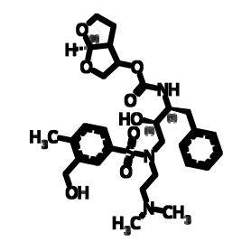 Cc1ccc(S(=O)(=O)N(CCN(C)C)C[C@@H](O)[C@H](Cc2ccccc2)NC(=O)OC2CO[C@H]3OCCC23)cc1CO